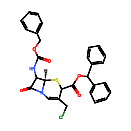 O=C(NC1C(=O)N2C=C(CCl)C(C(=O)OC(c3ccccc3)c3ccccc3)S[C@H]12)OCc1ccccc1